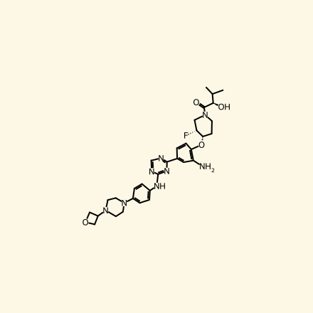 CC(C)[C@@H](O)C(=O)N1CC[C@H](Oc2ccc(-c3ncnc(Nc4ccc(N5CCN(C6COC6)CC5)cc4)n3)cc2N)[C@H](F)C1